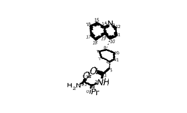 CC(C)[C@H](NC(=O)C[C@H]1CC[C@H](c2ccnc3ccccc32)CC1)C(N)=O